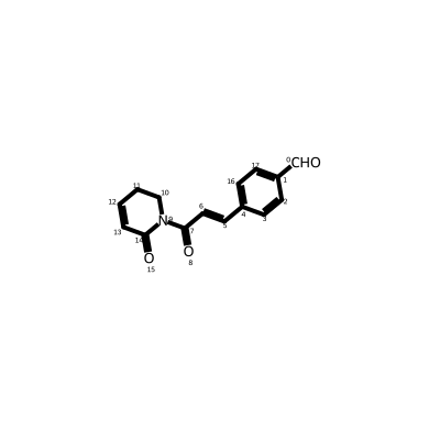 O=Cc1ccc(/C=C/C(=O)N2CCC=CC2=O)cc1